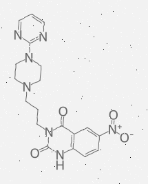 O=c1[nH]c2ccc([N+](=O)[O-])cc2c(=O)n1CCCN1CCN(c2ncccn2)CC1